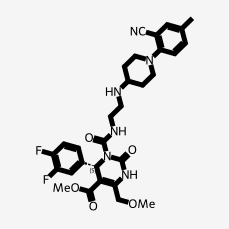 COCC1=C(C(=O)OC)[C@H](c2ccc(F)c(F)c2)N(C(=O)NCCNC2CCN(c3ccc(C)cc3C#N)CC2)C(=O)N1